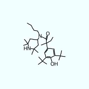 CCCCN(C(=O)C(C)(CC)c1cc(C(C)(C)C)c(O)c(C(C)(C)C)c1)C1CC(C)(C)NC(C)(C)C1